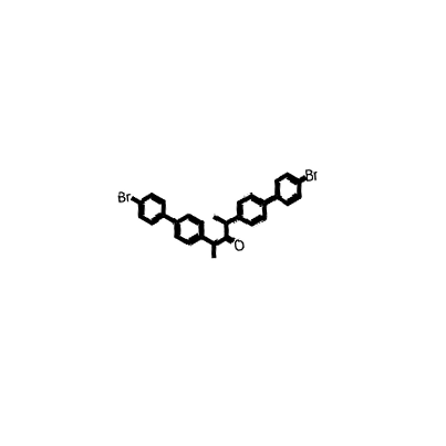 CC(C(=O)C(C)c1ccc(-c2ccc(Br)cc2)cc1)c1ccc(-c2ccc(Br)cc2)cc1